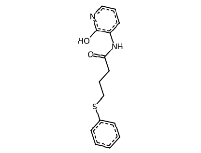 O=C(CCCSc1ccccc1)Nc1cccnc1O